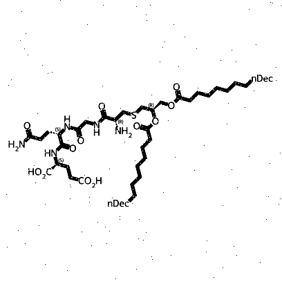 CCCCCCCCCCCCCCCCCC(=O)OC[C@H](CSC[C@H](N)C(=O)NCC(=O)N[C@@H](CCC(N)=O)C(=O)N[C@@H](CCC(=O)O)C(=O)O)OC(=O)CCCCCCCCCCCCCCCCC